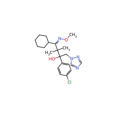 CON=C(C1CCCCC1)C(C)(C)C(O)(Cn1cncn1)c1ccc(Cl)cc1